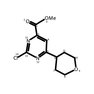 COC(=O)c1cc(C2CCOCC2)nc(Cl)n1